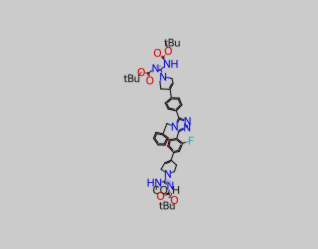 CC(C)(C)OC(=O)/N=C(/NC(=O)OC(C)(C)C)N1CC=C(c2ccc(-c3nnc(-c4ccc(C5=CCN(/C(=N/C(=O)OC(C)(C)C)NC(=O)O)CC5)cc4F)n3Cc3ccccc3)cc2)CC1